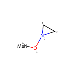 CNON1CC1